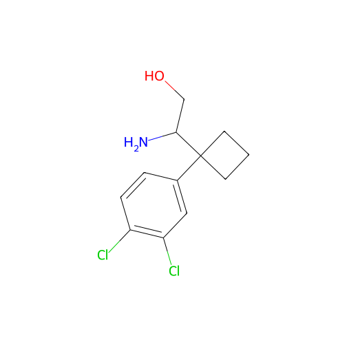 NC(CO)C1(c2ccc(Cl)c(Cl)c2)CCC1